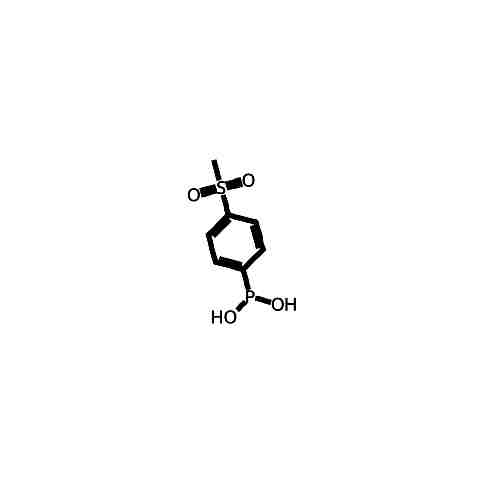 CS(=O)(=O)c1ccc(P(O)O)cc1